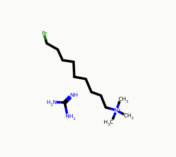 C[N+](C)(C)CCCCCCCCCBr.N=C(N)N